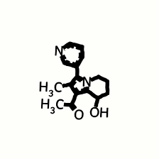 CC(=O)c1c(C)c(-c2cccnc2)n2c1C(O)CCC2